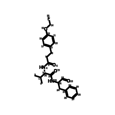 CC(C)[C@H](NC(=O)CCc1ccc(OCF)cc1)C(=O)NC(C=O)Cc1ccccc1